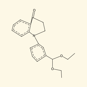 CCOC(OCC)c1cccc(N2CCC(=O)c3ccccc32)c1